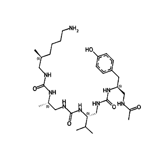 CC(=O)NC[C@H](Cc1ccc(O)cc1)NC(=O)NC[C@@H](NC(=O)NC[C@H](C)NC(=O)NC[C@@H](C)CCCCN)C(C)C